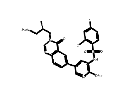 CNC[C@@H](C)Cn1cnc2ccc(-c3cnc(OC)c(NS(=O)(=O)c4ccc(F)cc4Cl)c3)cc2c1=O